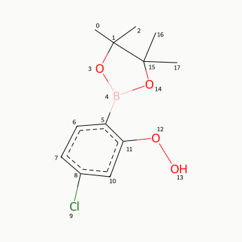 CC1(C)OB(c2ccc(Cl)cc2OO)OC1(C)C